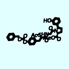 COC(=O)[C@@H]1CCC(c2cccc(O)c2)N1C(=O)CNC(=O)C(Cc1ccc(OC(=O)OCc2ccccc2)cc1)SC(C)=O